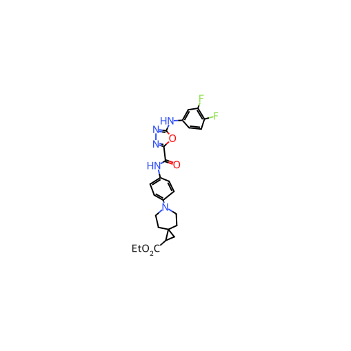 CCOC(=O)C1CC12CCN(c1ccc(NC(=O)c3nnc(Nc4ccc(F)c(F)c4)o3)cc1)CC2